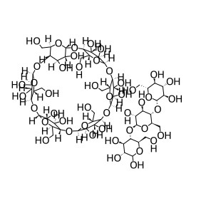 OC[C@H]1O[C@@H](O[C@H]2[C@H](O)[C@@H](O)[C@H](O[C@H]3[C@H](O)[C@@H](O)C(O)O[C@@H]3CO)O[C@@H]2CO)[C@H](O)[C@@H](O)[C@@H]1O.OC[C@H]1O[C@@H]2O[C@H]3[C@H](O)[C@@H](O)[C@@H](O[C@H]4[C@H](O)[C@@H](O)[C@@H](O[C@H]5[C@H](O)[C@@H](O)[C@@H](O[C@H]6[C@H](O)[C@@H](O)[C@@H](O[C@H]7[C@H](O)[C@@H](O)[C@@H](O[C@H]1[C@H](O)[C@H]2O)O[C@@H]7CO)O[C@@H]6CO)O[C@@H]5CO)O[C@@H]4CO)O[C@@H]3CO